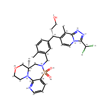 Cc1ccc([C@H](CCO)c2ccn3c(C(F)F)nnc3c2C)cc1CN1C[C@@H]2COCCN2c2ncccc2S1(=O)=O